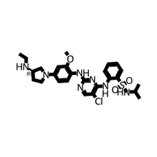 CCN[C@@H]1CCN(c2ccc(Nc3ncc(Cl)c(Nc4ccccc4S(=O)(=O)NC(C)C)n3)c(OC)c2)C1